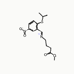 COC(=O)CCC/N=C/c1cc([N+](=O)[O-])ccc1SC(C)C